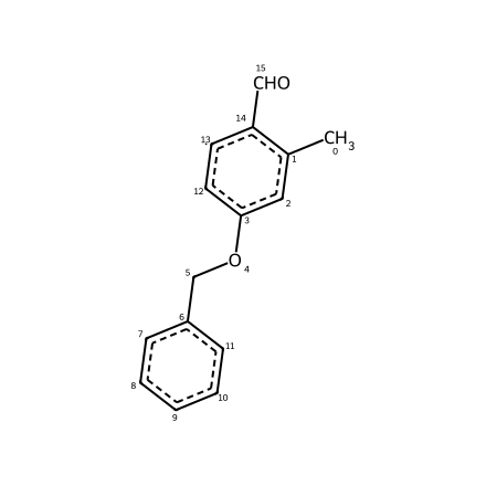 Cc1cc(OCc2ccccc2)c[c]c1C=O